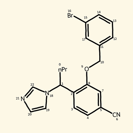 CCCC(c1ccc(C#N)cc1OCc1cccc(Br)c1)n1ccnc1